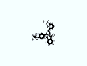 Cc1cccc(CC[N+]2(Cc3ccc(OC(F)(F)F)cc3)Cc3ccccc3C2=O)n1